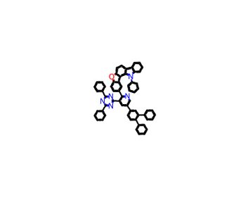 c1ccc(-c2nc(-c3ccccc3)nc(-c3cc(-c4ccc(-c5ccccc5)c(-c5ccccc5)c4)cnc3-c3ccc4oc5ccc6c7ccccc7n(-c7ccccc7)c6c5c4c3)n2)cc1